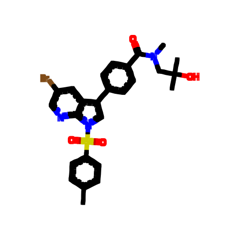 Cc1ccc(S(=O)(=O)n2cc(-c3ccc(C(=O)N(C)CC(C)(C)O)cc3)c3cc(Br)cnc32)cc1